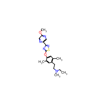 CCN(C)CCc1cc(C)c(Oc2nc(-c3cnc(OC)cn3)ns2)cc1C